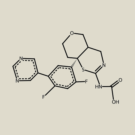 O=C(O)NC1=NCC2COCC[C@]2(c2cc(-c3cncnc3)c(F)cc2F)S1